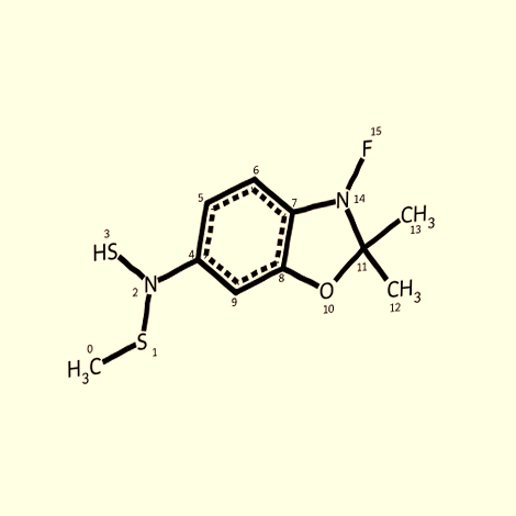 CSN(S)c1ccc2c(c1)OC(C)(C)N2F